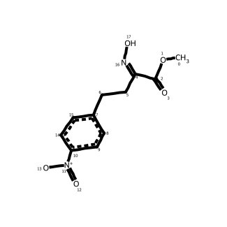 COC(=O)C(CCc1ccc([N+](=O)[O-])cc1)=NO